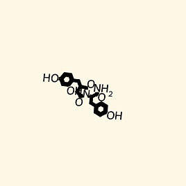 NC(=O)C(Cc1ccc(O)cc1)N1C(=O)CC(Cc2ccc(O)cc2O)C1=O